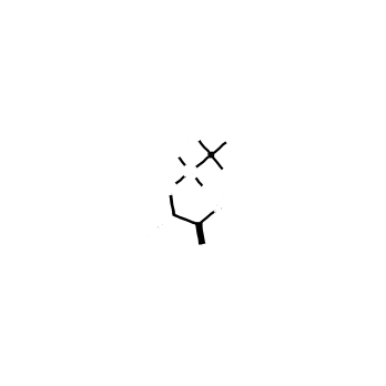 C[C@H](O[Si](C)(C)C(C)(C)C)C(N)=S